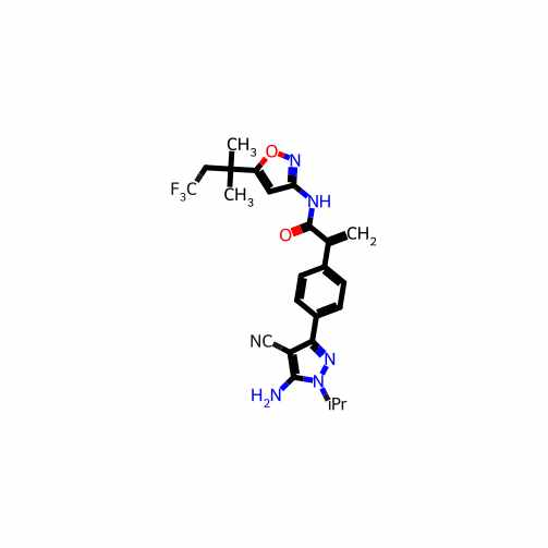 C=C(C(=O)Nc1cc(C(C)(C)CC(F)(F)F)on1)c1ccc(-c2nn(C(C)C)c(N)c2C#N)cc1